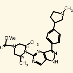 COC(=O)N1C[C@@H](C)N(c2ncc3[nH]nc(-c4ccc(C5CCN(C)C5)cc4)c3n2)[C@@H](C)C1